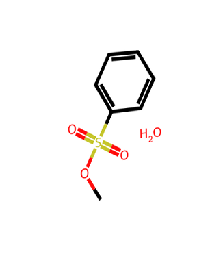 COS(=O)(=O)c1ccccc1.O